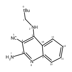 CC(C)(C)CNc1c(C#N)c(N)nc2ccccc12